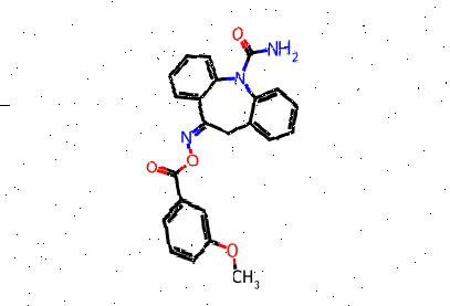 COc1cccc(C(=O)ON=C2Cc3ccccc3N(C(N)=O)c3ccccc32)c1